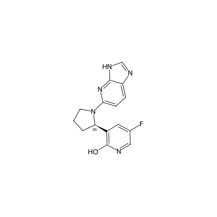 Oc1ncc(F)cc1[C@H]1CCCN1c1ccc2nc[nH]c2n1